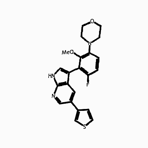 COc1c(N2CCOCC2)ccc(F)c1-c1c[nH]c2ncc(-c3ccsc3)cc12